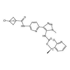 C[C@@H](OC(=O)Nc1c(-c2ccc(NC(=O)C34CC(Cl)(C3)C4)cn2)nnn1C)c1cccnc1Cl